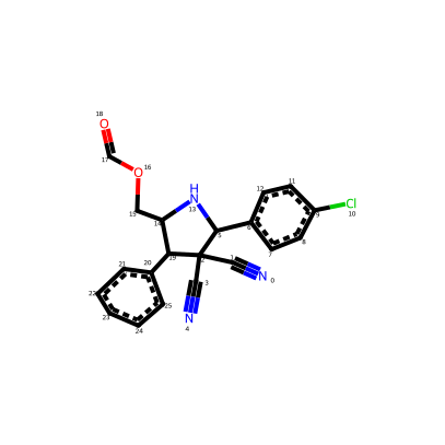 N#CC1(C#N)C(c2ccc(Cl)cc2)NC(COC=O)C1c1ccccc1